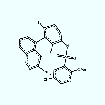 COc1ncc(Cl)cc1S(=O)(=O)Nc1ccc(F)c(-c2cccc3cnc(N)nc23)c1F